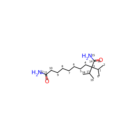 CC(C)C(CCCCCCCC(N)=O)(C(N)=O)C(C)C